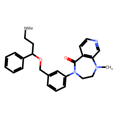 CNCCC(OCc1cccc(N2CCN(C)c3cnccc3C2=O)c1)c1ccccc1